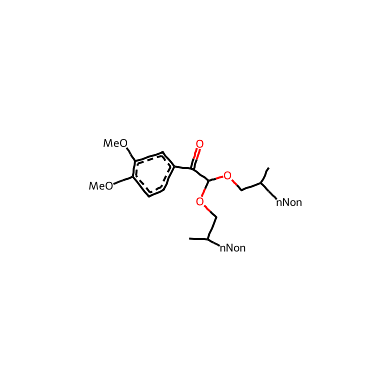 CCCCCCCCCC(C)COC(OCC(C)CCCCCCCCC)C(=O)c1ccc(OC)c(OC)c1